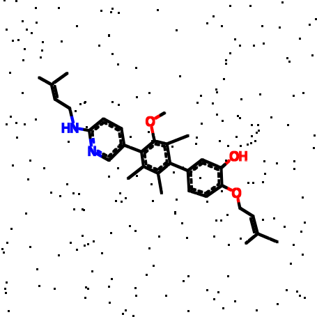 COc1c(C)c(-c2ccc(OCC=C(C)C)c(O)c2)c(C)c(C)c1-c1ccc(NCC=C(C)C)nc1